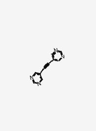 C(#Cc1cncnc1)c1cncnc1